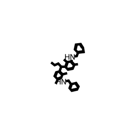 CCCC(c1ccc(C)c(NCc2ccccc2)c1C)c1ccc(C)c(NCc2ccccc2)c1C